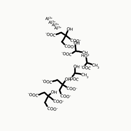 CC(O)C(=O)[O-].CC(O)C(=O)[O-].CC(O)C(=O)[O-].O=C([O-])CC(O)(CC(=O)[O-])C(=O)[O-].O=C([O-])CC(O)(CC(=O)[O-])C(=O)[O-].O=C([O-])CC(O)(CC(=O)[O-])C(=O)[O-].[Al+3].[Al+3].[Al+3].[Al+3]